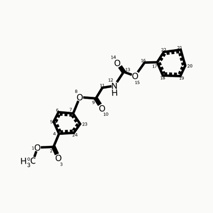 COC(=O)c1ccc(OC(=O)CNC(=O)OCc2ccccc2)cc1